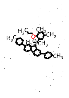 C=CCOc1c(C)cc(C)cc1[Si](C)(C)C1c2cc(-c3ccc(C)cc3)ccc2-c2ccc(-c3ccc(C)cc3)cc21